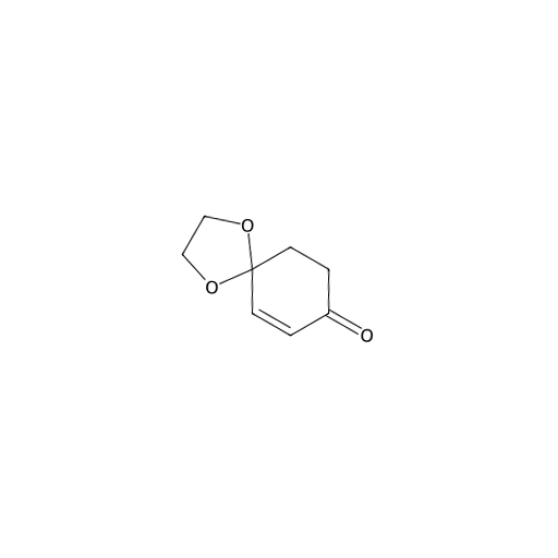 O=C1C=CC2(CC1)OCCO2